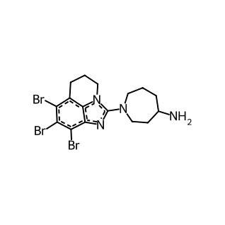 NC1CCCN(c2nc3c(Br)c(Br)c(Br)c4c3n2CCC4)CC1